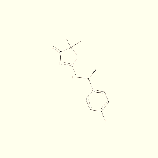 Cc1ccc([C@H](C)NC2=NC(=O)C(C)(C(F)(F)F)S2)cc1